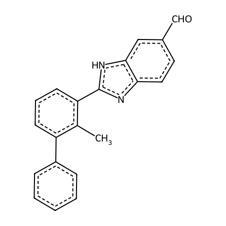 Cc1c(-c2ccccc2)cccc1-c1nc2ccc(C=O)cc2[nH]1